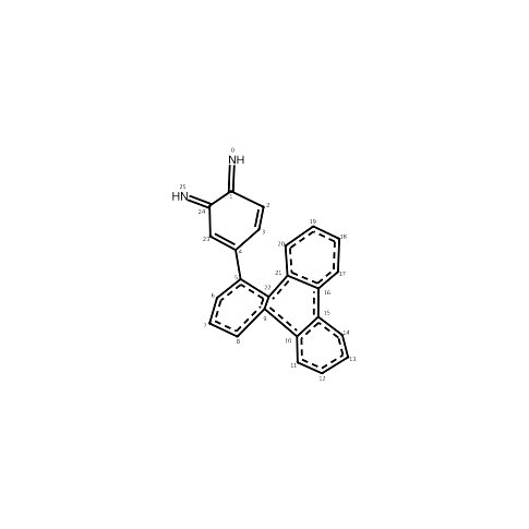 N=C1C=CC(c2cccc3c4ccccc4c4ccccc4c23)=CC1=N